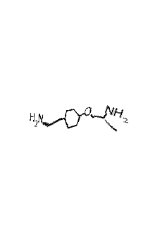 C[C@H](N)COC1CCC(CN)CC1